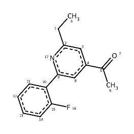 CCc1cc(C(C)=O)cc(-c2ccccc2F)n1